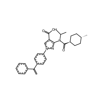 C=C(c1ccccc1)c1ccc(-n2cc(C(=O)O)c(N(C(=O)[C@H]3CC[C@H](C)CC3)C(C)C)n2)cc1